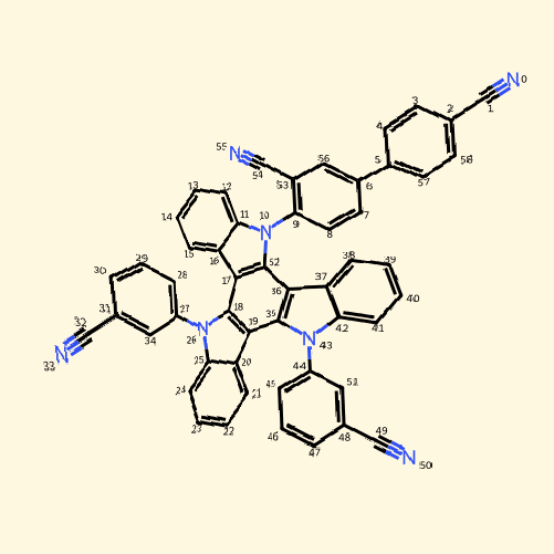 N#Cc1ccc(-c2ccc(-n3c4ccccc4c4c5c(c6ccccc6n5-c5cccc(C#N)c5)c5c(c6ccccc6n5-c5cccc(C#N)c5)c43)c(C#N)c2)cc1